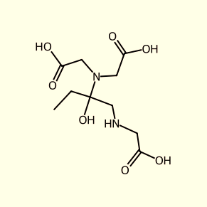 CCC(O)(CNCC(=O)O)N(CC(=O)O)CC(=O)O